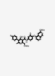 COCc1nc(C)c(-c2ccc(F)cc2)c(O)c1C(=O)Nc1ccc(Oc2ccnc3cnc(OC)cc23)c(F)c1